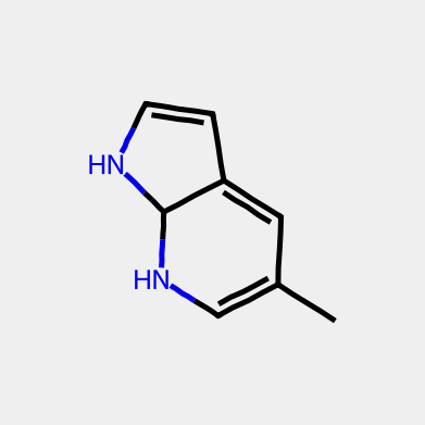 CC1=CNC2NC=CC2=C1